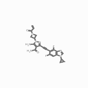 C=CC(=O)N1CC(n2nc(C#Cc3c(F)cc4c(ncn4C4CC4)c3F)c(C(N)=O)c2N)C1